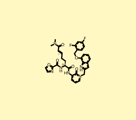 CN(C)C(=O)/C=C/CC[C@H](NC(=O)c1ncco1)C(=O)Nc1cccn(Cc2cc3cccc(OCc4ccc(F)cc4F)c3[nH]2)c1=O